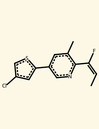 C/C=C(/F)c1ncc(-c2cc(Cl)cs2)cc1C